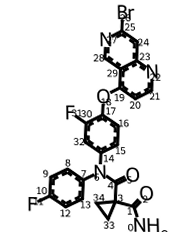 NC(=O)C1(C(=O)N(c2ccc(F)cc2)c2ccc(Oc3ccnc4cc(Br)ncc34)c(F)c2)CC1